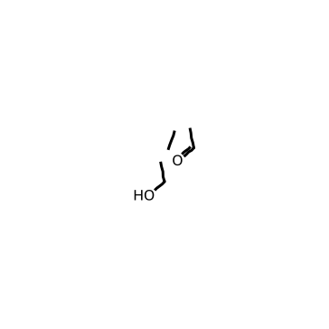 CC.CC=O.CCO